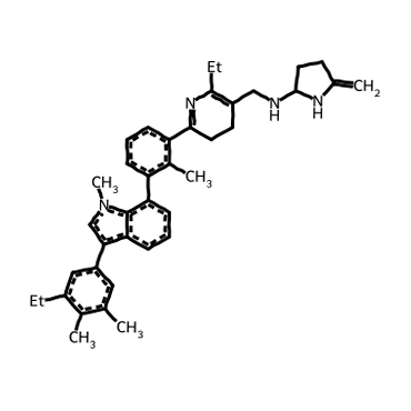 C=C1CCC(NCC2=C(CC)N=C(c3cccc(-c4cccc5c(-c6cc(C)c(C)c(CC)c6)cn(C)c45)c3C)CC2)N1